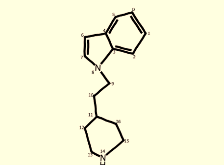 c1ccc2c(c1)ccn2CCC1CCNCC1